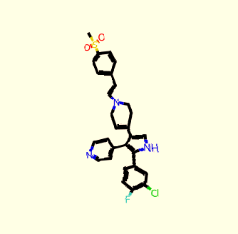 CS(=O)(=O)c1ccc(C=CN2CC=C(c3c[nH]c(-c4ccc(F)c(Cl)c4)c3-c3ccncc3)CC2)cc1